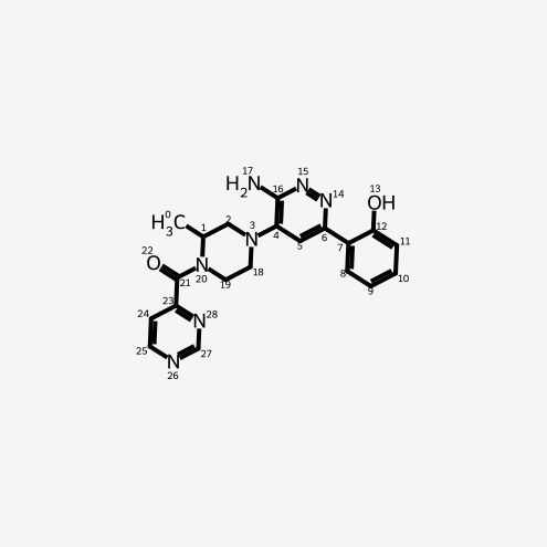 CC1CN(c2cc(-c3ccccc3O)nnc2N)CCN1C(=O)c1ccncn1